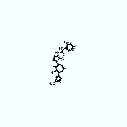 Cn1ccc(C2=C(F)C(F)=C(N3CC[C@@H](NC(=O)Nc4ccc(Cl)cc4F)C3=O)C=CC2)n1